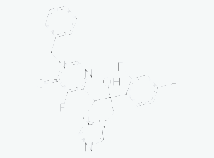 CC(c1ncn(Cc2ccccc2)c(=O)c1F)C(O)(Cn1cncn1)c1ccc(F)cc1F